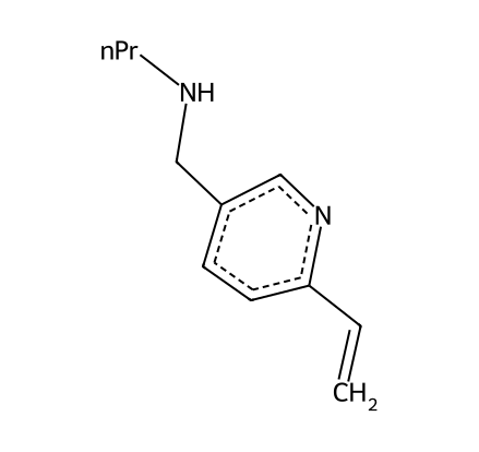 C=Cc1ccc(CNCCC)cn1